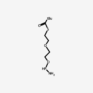 CC(C)(C)C(=O)SCCOCCOPN